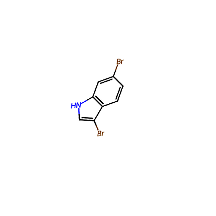 Brc1ccc2c(Br)c[nH]c2c1